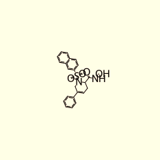 O=C(NO)C1CC=C(c2ccccc2)CN1S(=O)(=O)c1ccc2ccccc2c1